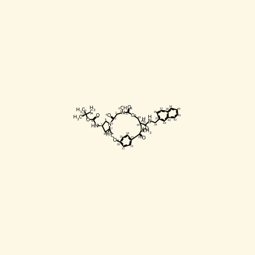 CN1CC(=O)N2C[C@H](NC(=O)OC(C)(C)C)C[C@H]2COc2ccc(cc2)C(=O)N(C)[C@H](C(=O)NCc2ccc3ccccc3c2)CCC1=O